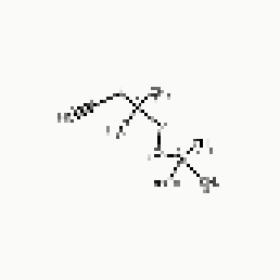 C#CCC(C)(C)CO[Si](C)(C)C(C)(C)C